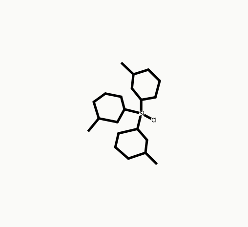 CC1CCCC([Si](Cl)(C2CCCC(C)C2)C2CCCC(C)C2)C1